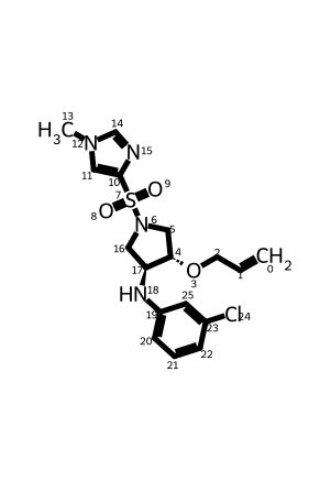 C=CCO[C@H]1CN(S(=O)(=O)c2cn(C)cn2)C[C@@H]1Nc1cccc(Cl)c1